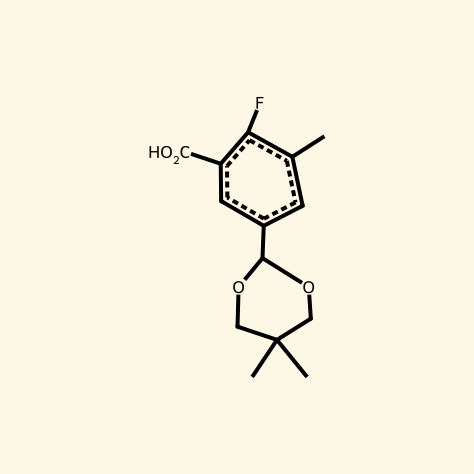 Cc1cc(C2OCC(C)(C)CO2)cc(C(=O)O)c1F